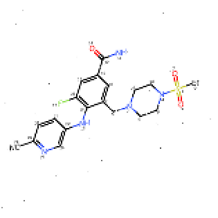 CCS(=O)(=O)N1CCN(Cc2cc(C([NH])=O)cc(F)c2Nc2ccc(C#N)nc2)CC1